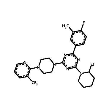 CCC1CCCCN1c1nc(-c2ccc(F)c(C)c2)nc(N2CCN(c3ncccc3C(F)(F)F)CC2)n1